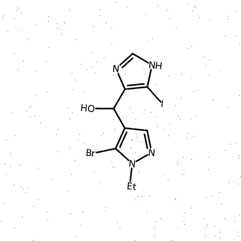 CCn1ncc(C(O)c2nc[nH]c2I)c1Br